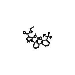 CCOC(=O)c1cnn(-c2cccc(-c3cccc(C(F)(F)F)c3O)n2)c1OC